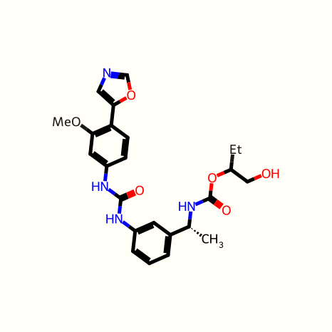 CCC(CO)OC(=O)N[C@H](C)c1cccc(NC(=O)Nc2ccc(-c3cnco3)c(OC)c2)c1